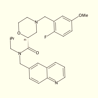 COc1ccc(F)c(CN2CCO[C@@H](C(=O)N(Cc3ccc4ncccc4c3)CC(C)C)C2)c1